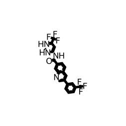 CN/C(=C\C(=N)C(F)(F)F)NC(=O)c1ccc2cc(-c3cccc(C(F)(F)F)c3)cnc2c1